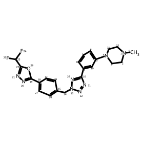 CN1CCN(c2cccc(-c3nnn(Cc4ccc(-c5nnc(C(F)F)o5)cc4)n3)c2)CC1